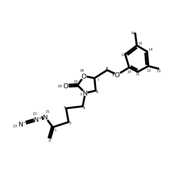 C=C(CCCN1CC(COc2cc(C)cc(C)c2)OC1=O)N=[N+]=[N-]